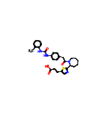 Cc1ccccc1NC(=O)Nc1ccc(CC(=O)N2CCCCCC2c2ncc(CCC(=O)O)s2)cc1